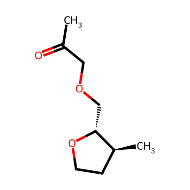 CC(=O)COC[C@H]1OCC[C@@H]1C